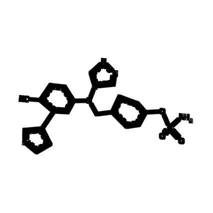 N#Cc1ccc(N(Cc2ccc(OS(N)(=O)=O)cc2)n2cnnc2)cc1-c1ccsc1